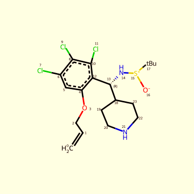 C=CCOc1cc(Cl)c(Cl)c(Cl)c1[C@H](N[S+]([O-])C(C)(C)C)C1CCNCC1